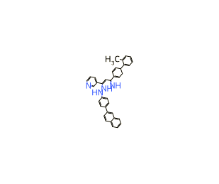 Cc1ccccc1C1C=CC(C(=N)/C=C(\NNc2ccc(-c3ccc4ccccc4c3)cc2)c2cccnc2)=CC1